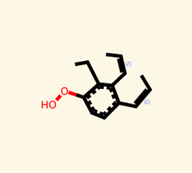 C/C=C\c1ccc(OO)c(CC)c1/C=C\C